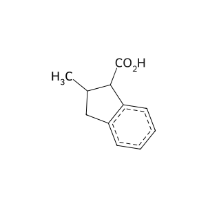 CC1Cc2ccccc2C1C(=O)O